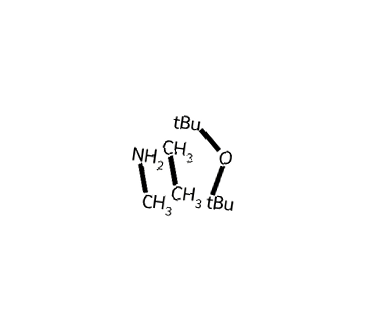 CC.CC(C)(C)OC(C)(C)C.CN